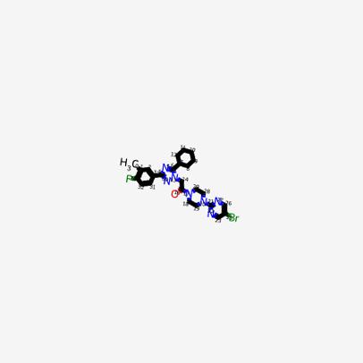 Cc1cc(-c2nc(C3CCCCC3)n(CC(=O)N3CCN(c4ncc(Br)cn4)CC3)n2)ccc1F